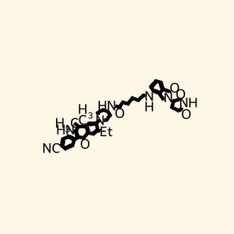 CCc1cc2c(cc1N1CCC(NC(=O)CCCCCNc3cccc4c3CN(C3CCC(=O)NC3=O)C4=O)CC1)C(C)(C)c1[nH]c3cc(C#N)ccc3c1C2=O